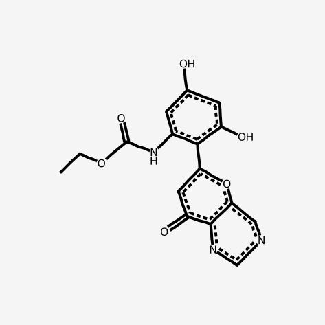 CCOC(=O)Nc1cc(O)cc(O)c1-c1cc(=O)c2ncncc2o1